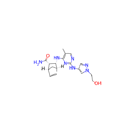 Cc1cnc(Nc2cnn(CCO)c2)nc1N[C@H]1[C@@H](C(N)=O)[C@@H]2C=C[C@H]1C2